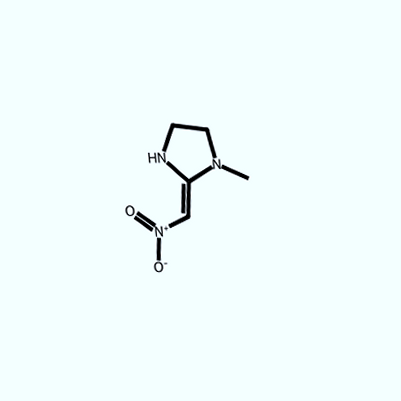 CN1CCNC1=C[N+](=O)[O-]